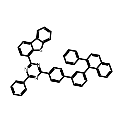 c1ccc(-c2nc(-c3ccc(-c4cccc(-c5c(-c6ccccc6)ccc6ccccc56)c4)cc3)nc(-c3cccc4c3sc3ccccc34)n2)cc1